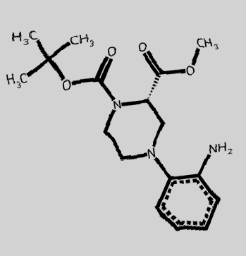 COC(=O)[C@@H]1CN(c2ccccc2N)CCN1C(=O)OC(C)(C)C